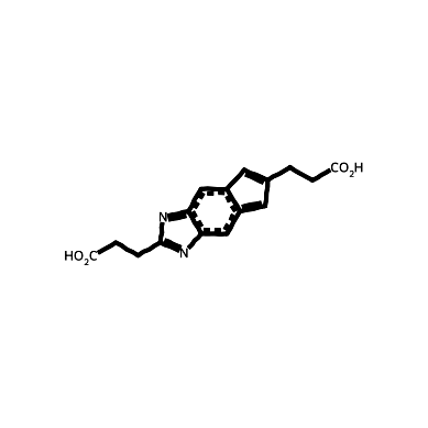 O=C(O)CCC1=Cc2cc3c(cc2=C1)N=C(CCC(=O)O)N=3